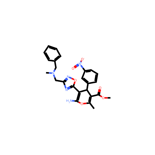 COC(=O)C1=C(C)OC(N)=C(c2nc(CN(C)Cc3ccccc3)no2)C1c1cccc([N+](=O)[O-])c1